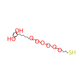 Oc1ccc(O)c(CCCCCCOCCOCCOCCOCCOCCOCCCCS)c1